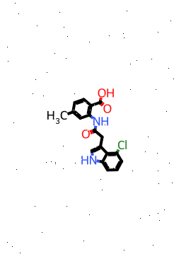 Cc1ccc(C(=O)O)c(NC(=O)Cc2c[nH]c3cccc(Cl)c23)c1